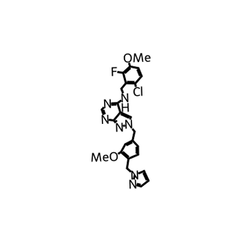 COc1cc(Cn2cc3c(NCc4c(Cl)ccc(OC)c4F)ncnc3n2)ccc1Cn1cccn1